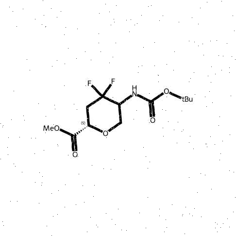 COC(=O)[C@@H]1CC(F)(F)C(NC(=O)OC(C)(C)C)CO1